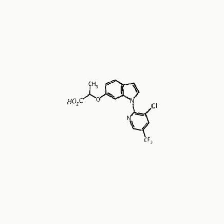 CC(Oc1ccc2ccn(-c3ncc(C(F)(F)F)cc3Cl)c2c1)C(=O)O